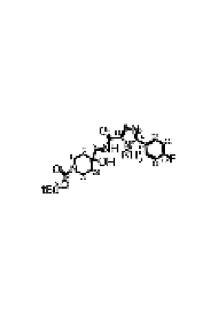 CC(C)(C)OC(=O)N1CCC(O)(CNC(=O)c2cnc(-c3ccc(F)cc3)n2N)CC1